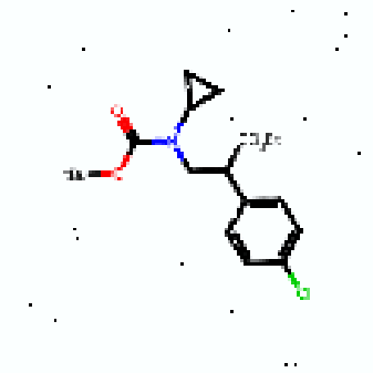 CCOC(=O)C(CN(C(=O)OC(C)(C)C)C1CC1)c1ccc(Cl)cc1